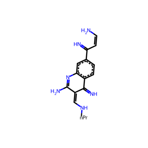 CCCN/C=C1\C(=N)c2ccc(C(=N)/C=C\N)cc2N=C1N